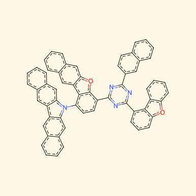 c1ccc2cc(-c3nc(-c4ccc(-n5c6cc7ccccc7cc6c6cc7ccccc7cc65)c5c4oc4cc6ccccc6cc45)nc(-c4cccc5oc6ccccc6c45)n3)ccc2c1